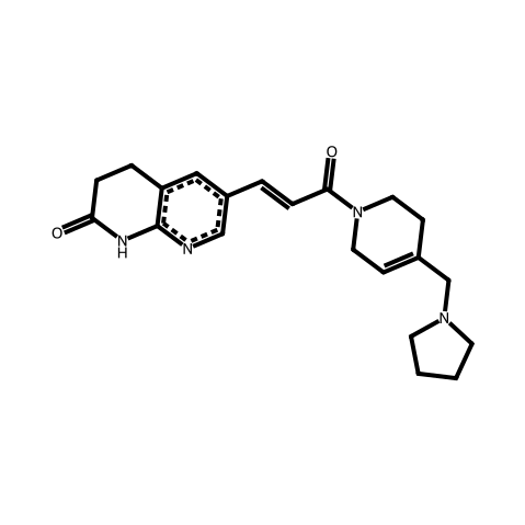 O=C1CCc2cc(/C=C/C(=O)N3CC=C(CN4CCCC4)CC3)cnc2N1